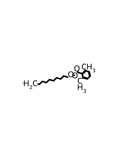 [CH2]CCCCCCCCCOOC(=O)c1c(C)cccc1C